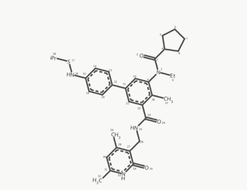 CCN(C(=O)C1CCCC1)c1cc(-c2ccc(NSC(C)C)cc2)cc(C(=O)NCc2c(C)cc(C)[nH]c2=O)c1C